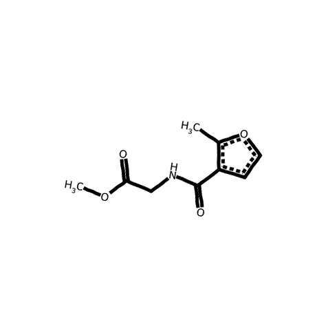 COC(=O)CNC(=O)c1ccoc1C